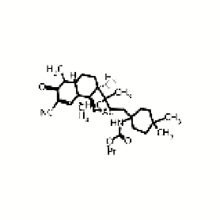 CC(=O)/C=C1/[C@@]2(C)C=C(C#N)C(=O)[C@@H](C)[C@@H]2CC[C@@]1(C)C(C)(C)CCC1(NC(=O)OC(C)C)CCC(C)(C)CC1